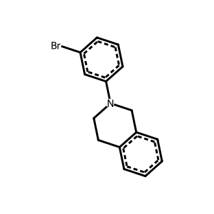 Brc1cccc(N2CCc3ccccc3C2)c1